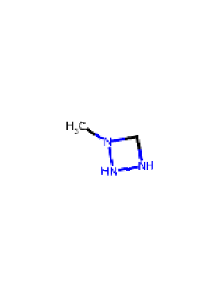 CN1CNN1